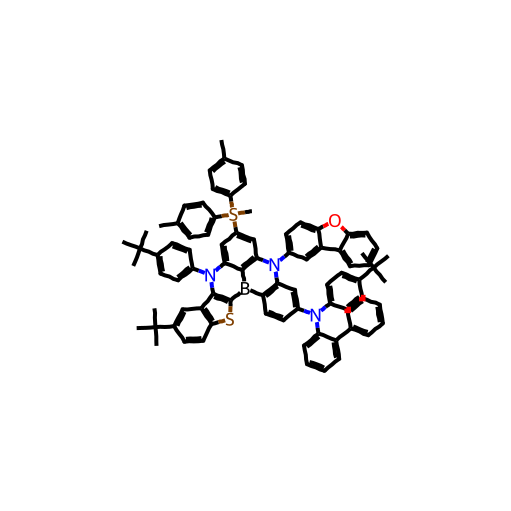 Cc1ccc(S(C)(c2ccc(C)cc2)c2cc3c4c(c2)N(c2ccc(C(C)(C)C)cc2)c2c(sc5ccc(C(C)(C)C)cc25)B4c2ccc(N(c4ccc(C(C)(C)C)cc4)c4ccccc4-c4ccccc4)cc2N3c2ccc3oc4ccccc4c3c2)cc1